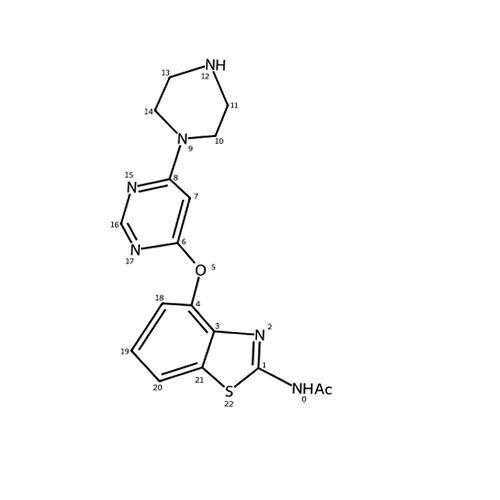 CC(=O)Nc1nc2c(Oc3cc(N4CCNCC4)ncn3)cccc2s1